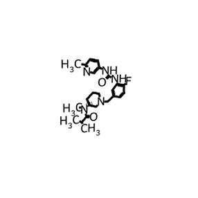 Cc1ccc(NC(=O)Nc2cc(CN3CCC[C@@H](N(C)C(=O)C(C)C)C3)ccc2F)cn1